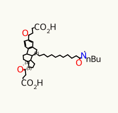 CCCCN(C)C(=O)CCCCCCCCCC[C@@H]1Cc2cc(C(=O)CCC(=O)O)ccc2C2CC[C@@]3(C)C(CC[C@@H]3C(=O)CCC(=O)O)C21